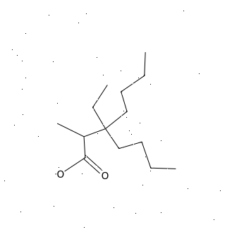 CCCCC(CC)(CCCC)C(C)C([O])=O